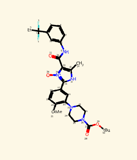 CCC(F)(F)c1cccc(NC(=O)c2c(C)[nH]c(-c3ccc(OC)c(N4CCN(C(=O)OC(C)(C)C)CC4)c3)[n+]2[O-])c1